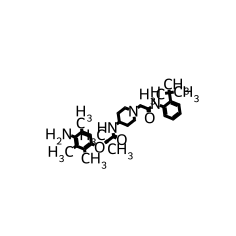 Cc1cc(OC(C)(C)C(=O)NC2CCN(CC(=O)Nc3ccccc3C(C)(C)C)CC2)c(C)c(C)c1N